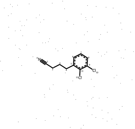 N#CCCCc1cccc(Cl)c1Cl